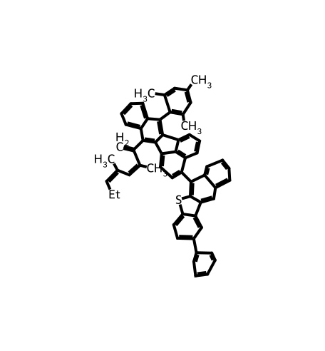 C=C(/C(C)=C\C(C)=C/CC)c1c2c(c(-c3c(C)cc(C)cc3C)c3ccccc13)-c1cccc3c(-c4c5ccccc5cc5c4sc4ccc(-c6ccccc6)cc45)ccc-2c13